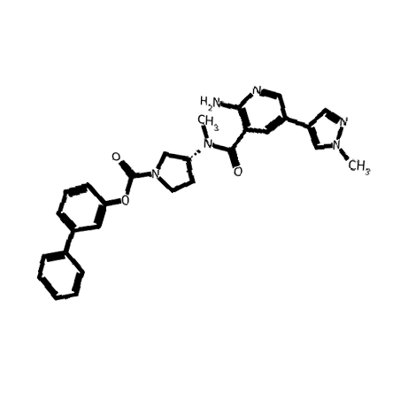 CN(C(=O)c1cc(-c2cnn(C)c2)cnc1N)[C@@H]1CCN(C(=O)Oc2cccc(-c3ccccc3)c2)C1